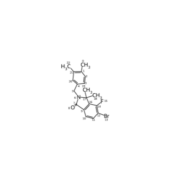 Cc1ccc(CN2C(=O)c3ccc(Br)c(F)c3C2(C)C)cc1C